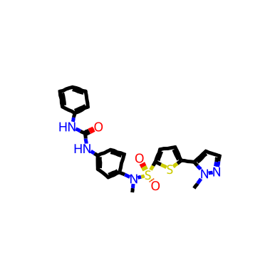 CN(c1ccc(NC(=O)Nc2ccccc2)cc1)S(=O)(=O)c1ccc(-c2ccnn2C)s1